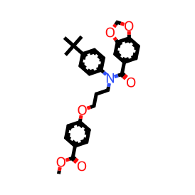 COC(=O)c1ccc(OCCCN(C(=O)c2ccc3c(c2)OCO3)c2ccc(C(C)(C)C)cc2)cc1